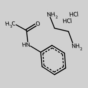 CC(=O)Nc1ccccc1.Cl.Cl.NCCN